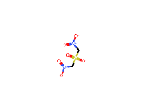 O=[N+]([O-])CS(=O)(=O)C[N+](=O)[O-]